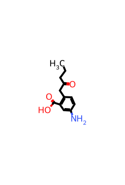 CCCC(=O)Cc1ccc(N)cc1C(=O)O